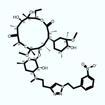 CC[C@H]1OC(=O)[C@H](C)[C@@H](C2C[C@@H](C)[C@H](O)[C@](C)(OC)C2)[C@H](C)[C@@H](O[C@@H]2O[C@H](C)C[C@H](N(C)CCc3cn(CCc4cccc([N+](=O)[O-])c4)nn3)[C@H]2O)[C@](C)(OC)C[C@@H](C)C(=O)[C@H](C)[C@@H](O)[C@]1(C)O